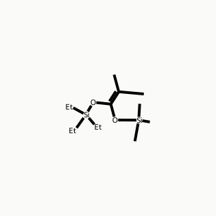 CC[Si](CC)(CC)OC(O[Si](C)(C)C)=C(C)C